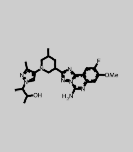 COc1cc2nc(N)n3nc(C4CC(C)CN(c5cn(C(C)C(C)O)nc5C)C4)nc3c2cc1F